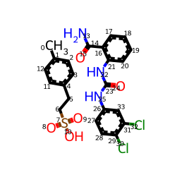 Cc1ccc(CCS(=O)(=O)O)cc1.NC(=O)c1ccccc1NC(=O)Nc1ccc(Cl)c(Cl)c1